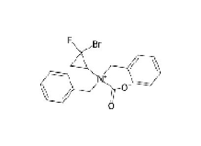 O=C([O-])[N+](Cc1ccccc1)(Cc1ccccc1)C1CC1(F)Br